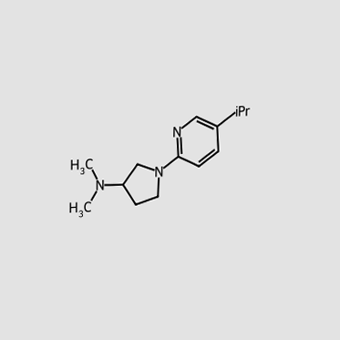 CC(C)c1ccc(N2CCC(N(C)C)C2)nc1